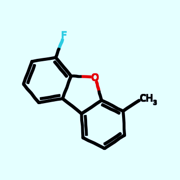 Cc1cccc2c1oc1c(F)cccc12